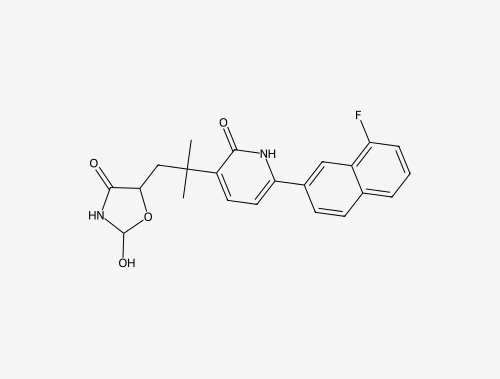 CC(C)(CC1OC(O)NC1=O)c1ccc(-c2ccc3cccc(F)c3c2)[nH]c1=O